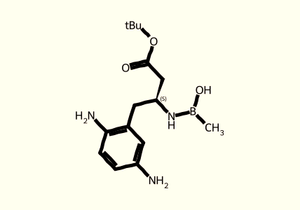 CB(O)N[C@H](CC(=O)OC(C)(C)C)Cc1cc(N)ccc1N